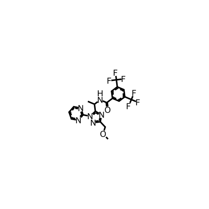 COCc1nc(C(C)NC(=O)c2cc(C(F)(F)F)cc(C(F)(F)F)c2)n(-c2ncccn2)n1